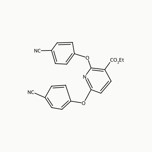 CCOC(=O)c1ccc(Oc2ccc(C#N)cc2)nc1Oc1ccc(C#N)cc1